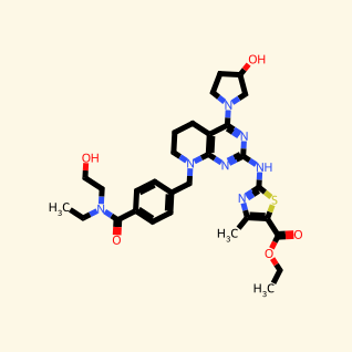 CCOC(=O)c1sc(Nc2nc3c(c(N4CCC(O)C4)n2)CCCN3Cc2ccc(C(=O)N(CC)CCO)cc2)nc1C